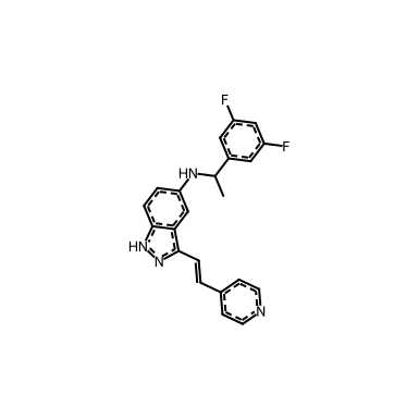 CC(Nc1ccc2[nH]nc(/C=C/c3ccncc3)c2c1)c1cc(F)cc(F)c1